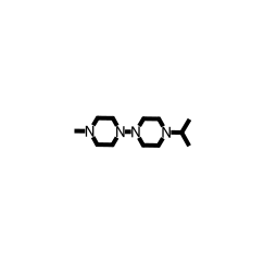 CC(C)N1CCN(N2CCN(C)CC2)CC1